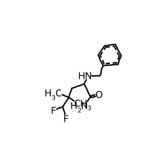 CC(C)(CC(NCc1ccccc1)C(N)=O)C(F)F